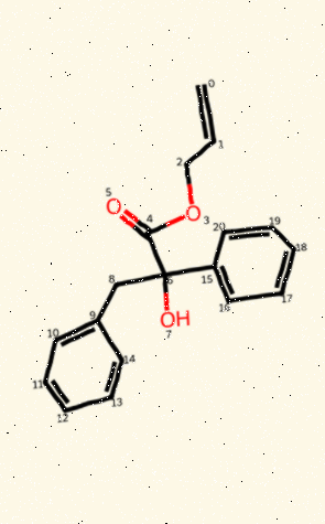 C=CCOC(=O)C(O)(Cc1ccccc1)c1ccccc1